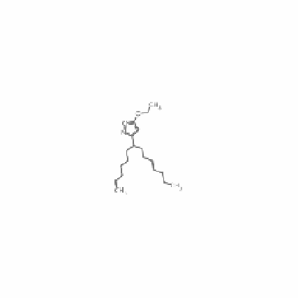 CCCCCCCC(CCCCCC)c1cc(OCC)on1